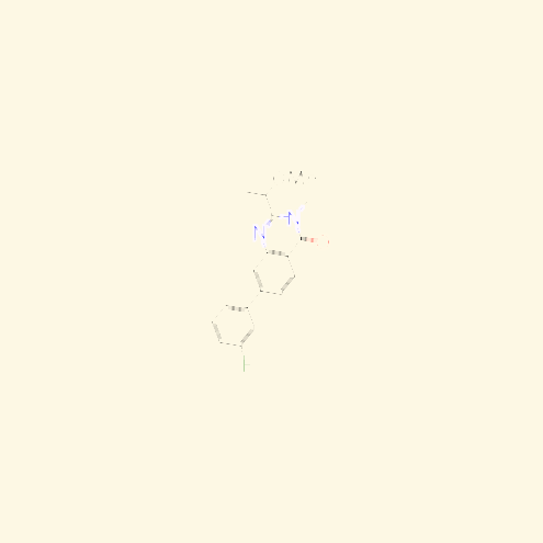 COC(C)c1nc2cc(-c3cccc(F)c3)ccc2c(=O)n1C